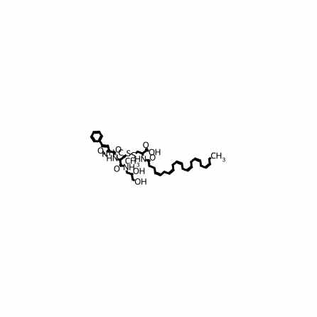 CC/C=C\C/C=C\C/C=C\C/C=C\C/C=C\C/C=C\CCC(=O)NC(CSSC(C)(C)C(NC(=O)c1cc(-c2ccccc2)on1)C(=O)NCC(O)CO)C(=O)O